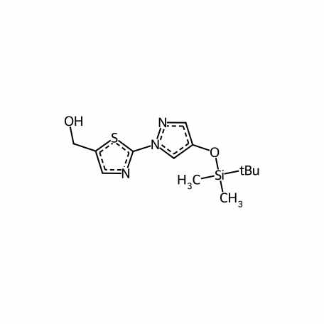 CC(C)(C)[Si](C)(C)Oc1cnn(-c2ncc(CO)s2)c1